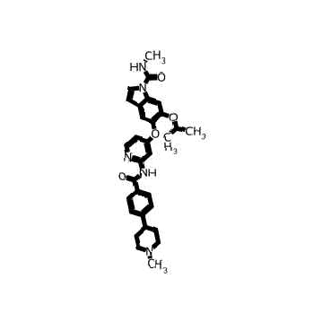 CNC(=O)n1ccc2cc(Oc3ccnc(NC(=O)c4ccc(C5CCN(C)CC5)cc4)c3)c(OC(C)C)cc21